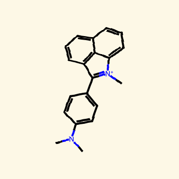 CN(C)c1ccc(C2=[N+](C)c3cccc4cccc2c34)cc1